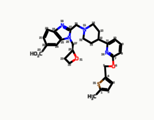 Cc1ccc(COc2cccc(C3CCN(Cc4nc5ccc(C(=O)O)cc5n4C[C@@H]4CCO4)CC3)n2)s1